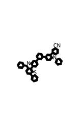 N#Cc1ccc2c(c1)c1cc(-c3cccc(-c4ccc5c(c4)nc(-c4ccccc4)c4ccc6c7ccccc7sc6c45)c3)ccc1n2-c1ccccc1